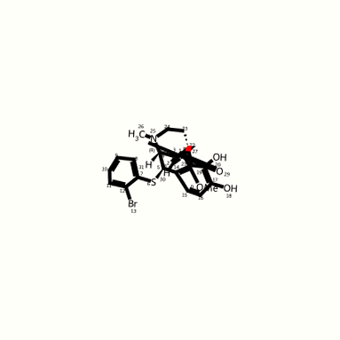 COC1=C[C@@H]2[C@@H]3[C@H](Sc4ccccc4Br)c4ccc(O)c(O)c4[C@]2(CCN3C)CC1=O